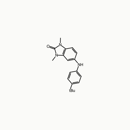 Cn1c(=O)n(C)c2cc(Nc3ccc(C(C)(C)C)cc3)ccc21